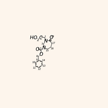 O=C(O)CN1CN(C(=O)OCc2ccccc2)CCCC1=O